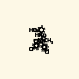 Cn1c(C(=O)N[C@@H]2CCCC[C@@H]2CO)nc(-c2ccc(Cl)cc2Cl)c1-c1ccc(Cl)cc1